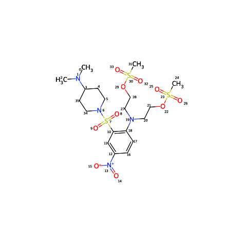 CN(C)C1CCN(S(=O)(=O)c2cc([N+](=O)[O-])ccc2N(CCOS(C)(=O)=O)CCOS(C)(=O)=O)CC1